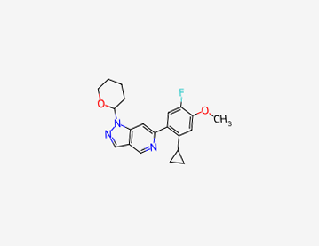 COc1cc(C2CC2)c(-c2cc3c(cn2)cnn3C2CCCCO2)cc1F